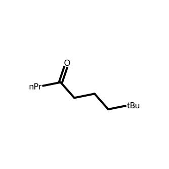 CCCC(=O)CCCC(C)(C)C